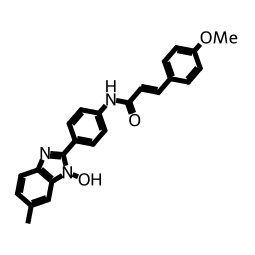 COc1ccc(/C=C/C(=O)Nc2ccc(-c3nc4ccc(C)cc4n3O)cc2)cc1